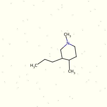 CCCC1CN(C)CCC1C